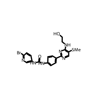 CSc1cnc(-c2ccc(NC(=O)Nc3ccc(Br)nc3)cc2)nc1NCCO